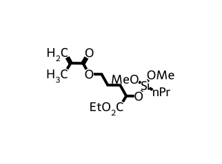 C=C(C)C(=O)OCCCC(O[Si](CCC)(OC)OC)C(=O)OCC